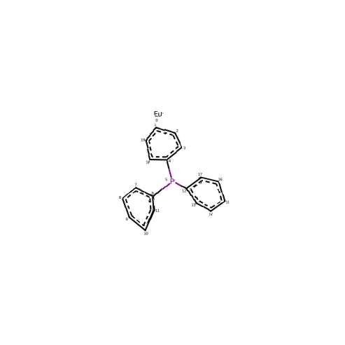 [Eu].c1ccc(P(c2ccccc2)c2ccccc2)cc1